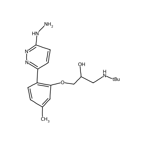 Cc1ccc(-c2ccc(NN)nn2)c(OCC(O)CNC(C)(C)C)c1